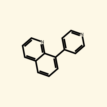 c1cnc2c(-c3ccncc3)cccc2c1